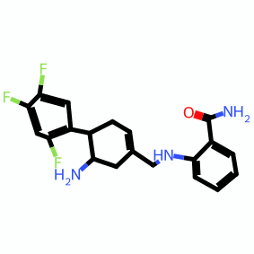 NC(=O)c1ccccc1NCC1=CCC(c2cc(F)c(F)cc2F)C(N)C1